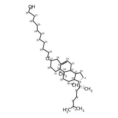 CC(C)CCC[C@@H](C)[C@H]1CCC2C3CC=C4CC(OCCCCCCCCCCO)CC[C@]4(C)C3CC[C@@]21C